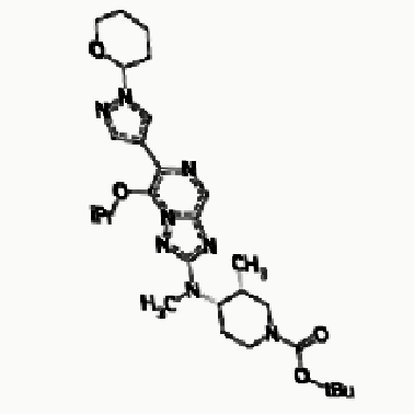 CC(C)Oc1c(-c2cnn(C3CCCCO3)c2)ncc2nc(N(C)[C@H]3CCN(C(=O)OC(C)(C)C)C[C@H]3C)nn12